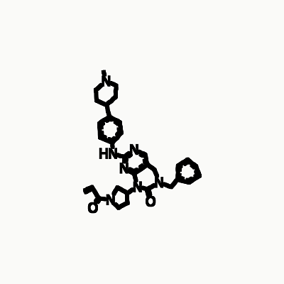 C=CC(=O)N1CCC(N2C(=O)N(Cc3ccccc3)Cc3cnc(Nc4ccc(C5CCN(C)CC5)cc4)nc32)C1